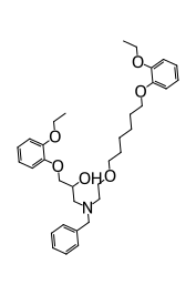 CCOc1ccccc1OCCCCCCOCCN(Cc1ccccc1)CC(O)COc1ccccc1OCC